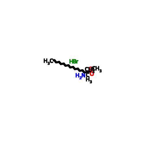 Br.CCCCCCCCCCCCCCC(N)C(C)(C)C(=O)OC